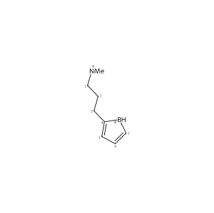 CNCCCC1=CC=CB1